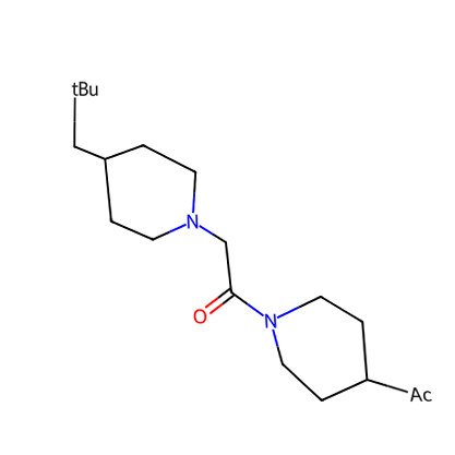 CC(=O)C1CCN(C(=O)CN2CCC(CC(C)(C)C)CC2)CC1